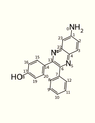 Nc1ccc2nc(-c3ccccc3)c(-c3ccc(O)cc3)nc2c1